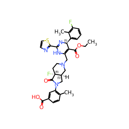 CCOC(=O)C1=C(CN2CC[C@]3(F)C(=O)N(c4cc(C(=O)O)ccc4C)C[C@@H]3C2)NC(c2nccs2)=N[C@H]1c1cccc(F)c1C